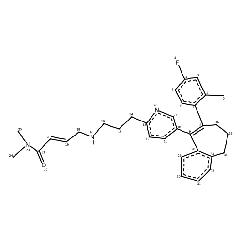 Cc1cc(F)ccc1C1=C(c2ccc(CCCNC/C=C/C(=O)N(C)C)nc2)c2ccccc2CCC1